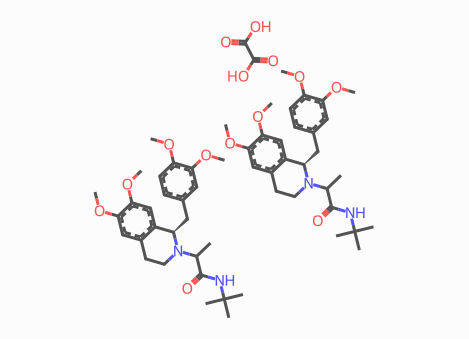 COc1ccc(C[C@@H]2c3cc(OC)c(OC)cc3CCN2C(C)C(=O)NC(C)(C)C)cc1OC.COc1ccc(C[C@@H]2c3cc(OC)c(OC)cc3CCN2C(C)C(=O)NC(C)(C)C)cc1OC.O=C(O)C(=O)O